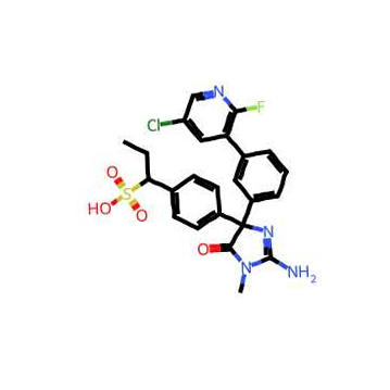 CCC(c1ccc(C2(c3cccc(-c4cc(Cl)cnc4F)c3)N=C(N)N(C)C2=O)cc1)S(=O)(=O)O